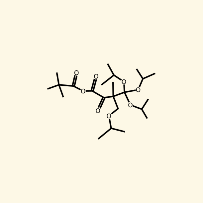 CC(C)OCC(C)(C(=O)C(=O)OC(=O)C(C)(C)C)C(OC(C)C)(OC(C)C)OC(C)C